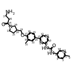 Cc1ccc(NC(=O)Nc2cncc(-c3ccc(OCC4CCN(C(=O)CCN)C4)c(C)c3)n2)cn1